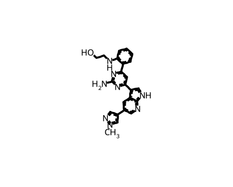 Cn1cc(-c2cnc3[nH]cc(-c4cc(-c5ccccc5NCCO)nc(N)n4)c3c2)cn1